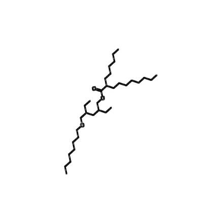 CCCCCCCCOCC(CC)CC(CC)COC(=O)C(CCCCCC)CCCCCCCC